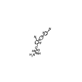 N#Cc1ccc(N2CCN(c3c(C#N)ccc(COC(=O)NC(=N)N)c3F)CC2)nc1